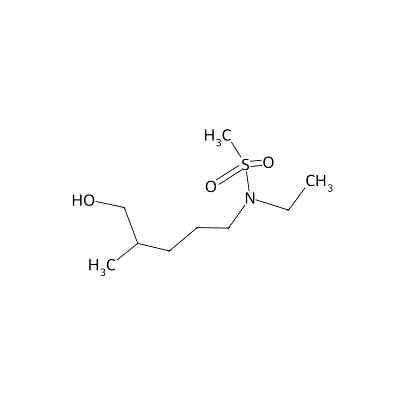 CCN(CCCC(C)CO)S(C)(=O)=O